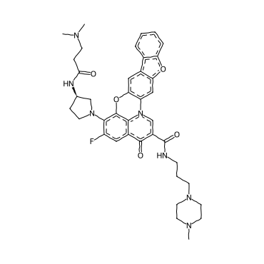 CN(C)CCC(=O)N[C@@H]1CCN(c2c(F)cc3c(=O)c(C(=O)NCCCN4CCN(C)CC4)cn4c3c2Oc2cc3c(cc2-4)oc2ccccc23)C1